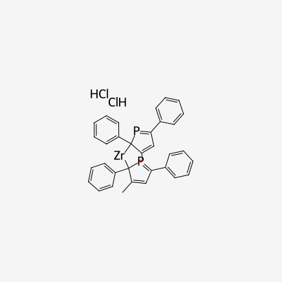 CC1=CC(c2ccccc2)=P[C]1([Zr][C]1(c2ccccc2)P=C(c2ccccc2)C=C1C)c1ccccc1.Cl.Cl